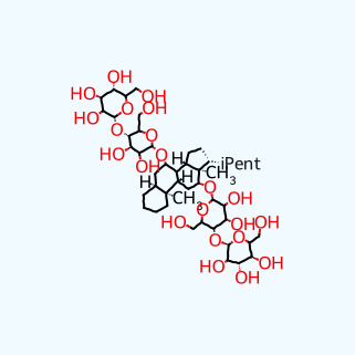 CCC[C@@H](C)[C@H]1CC[C@H]2C3[C@H](O[C@@H]4OC(CO)[C@@H](O[C@H]5OC(CO)[C@@H](O)[C@H](O)C5O)[C@H](O)C4O)C[C@@H]4CCCC[C@]4(C)[C@H]3C[C@H](O[C@@H]3OC(CO)[C@@H](O[C@H]4OC(CO)[C@@H](O)[C@H](O)C4O)[C@H](O)C3O)[C@]12C